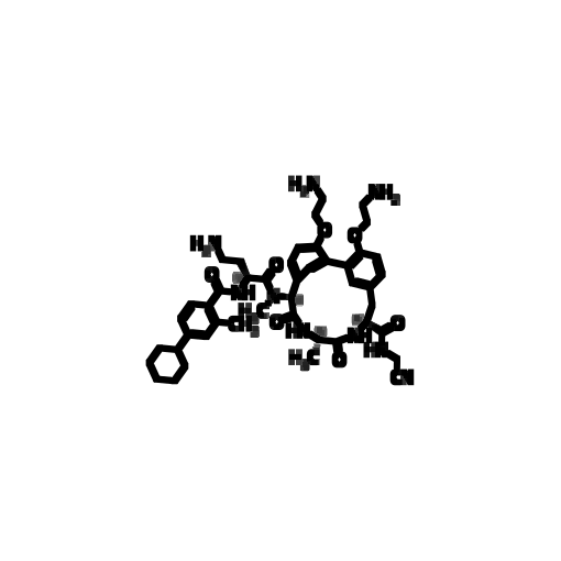 Cc1cc(C2CCCCC2)ccc1C(=O)N[C@@H](CCN)C(=O)N(C)[C@@H]1C(=O)N[C@@H](C)C(=O)N[C@H](C(=O)NCC#N)Cc2ccc(OCCN)c(c2)-c2cc1ccc2OCCN